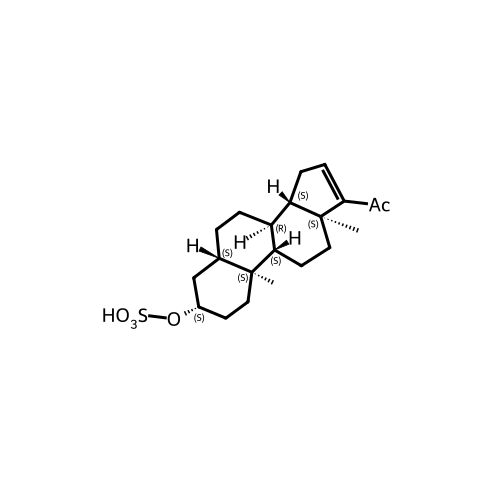 CC(=O)C1=CC[C@H]2[C@@H]3CC[C@H]4C[C@@H](OS(=O)(=O)O)CC[C@]4(C)[C@H]3CC[C@]12C